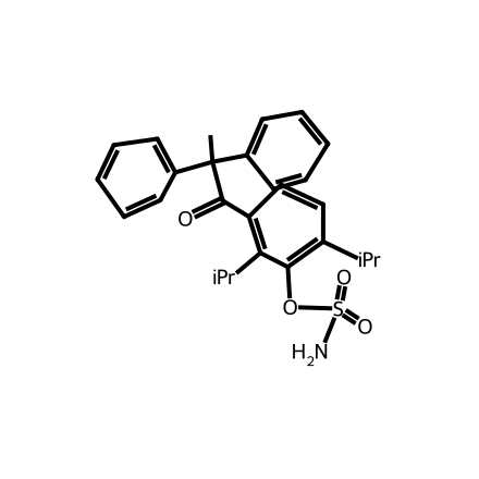 CC(C)c1ccc(C(=O)C(C)(c2ccccc2)c2ccccc2)c(C(C)C)c1OS(N)(=O)=O